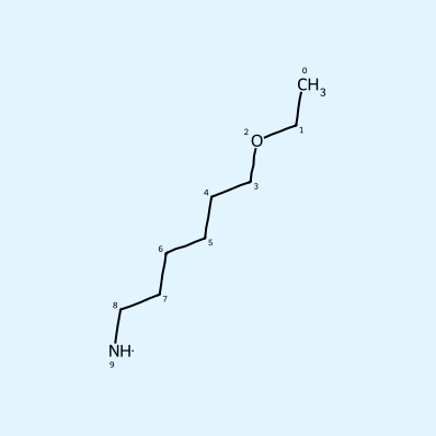 CCOCCCCCC[NH]